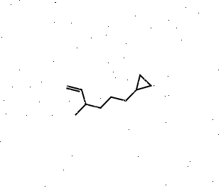 C=CC(C)CCCC1[CH]C1